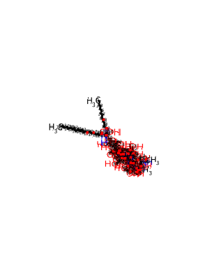 CCCCCCCCCCCCC/C=C/[C@@H](O)[C@H](CO[C@@H]1OC(CO)[C@@H](O[C@@H]2OC(CO)[C@H](O[C@@H]3OC(CO)[C@H](O)[C@H](O[C@@H]4OC(CO)[C@H](O[C@@H]5OC(CO)[C@H](O)[C@H](O)C5NC(C)=O)[C@H](O[C@]5(C(=O)O)CC(O)[C@@H](NC(C)=O)C([C@H](O)[C@H](O)CO)O5)C4O)C3NC(C)=O)[C@H](O[C@]3(C(=O)O)CC(O)[C@@H](NC(C)=O)C([C@H](O)[C@H](O)CO)O3)C2O)[C@H](O)C1O)NC(=O)CCCCCCCCCCCCCCCCCCCCC